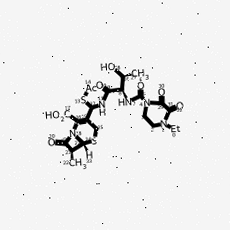 CCN1CCN(C(=O)N[C@@H](C(=O)NC(SC(C)=O)C2=C(C(=O)O)N3C(=O)[C@H](C)[C@H]3SC2)[C@H](C)O)C(=O)C1=O